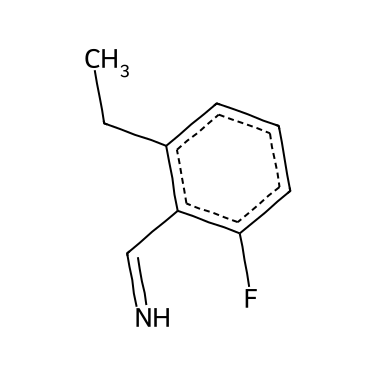 CCc1cccc(F)c1C=N